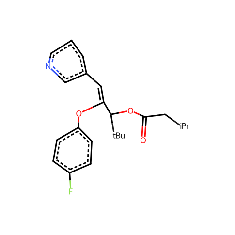 CC(C)CC(=O)OC(C(=Cc1cccnc1)Oc1ccc(F)cc1)C(C)(C)C